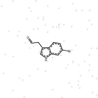 O=CCc1c[nH]c2cc(Br)ccc12